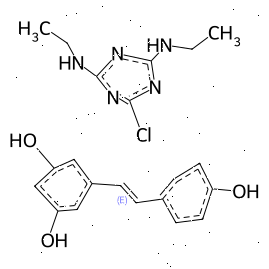 CCNc1nc(Cl)nc(NCC)n1.Oc1ccc(/C=C/c2cc(O)cc(O)c2)cc1